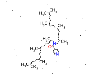 CC(C)=CCCC(C)=CCCC(C)=CCCC=C(C)CN(CC(C)=CCCC=C(C)CCC=C(C)CCC=C(C)C)C(=O)c1ccncc1